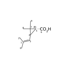 CC(C)=CC1[C@@H](C(=O)O)C1(C)C